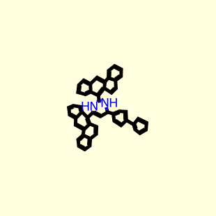 C1=C(c2c3ccccc3cc3c2ccc2ccccc23)NC(c2c3ccccc3cc3c2ccc2ccccc23)NC1c1ccc(-c2ccccc2)cc1